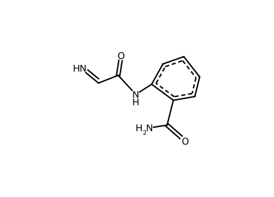 N=CC(=O)Nc1ccccc1C(N)=O